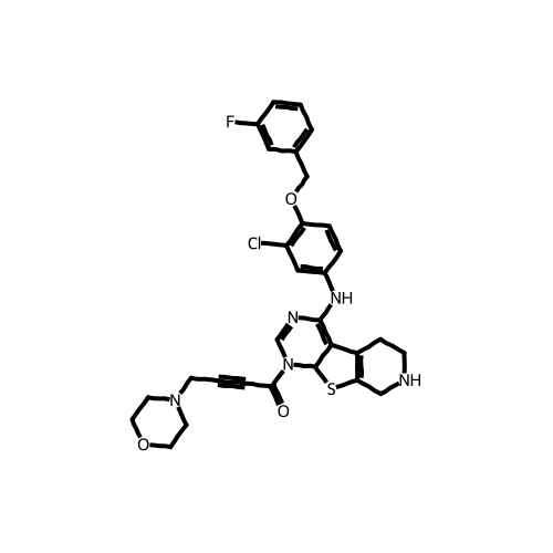 O=C(C#CCN1CCOCC1)N1C=NC(Nc2ccc(OCc3cccc(F)c3)c(Cl)c2)=C2C3=C(CNCC3)SC21